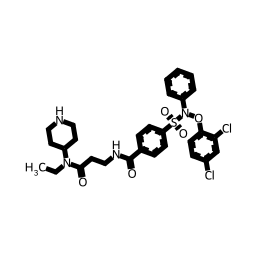 CCN(C(=O)CCNC(=O)c1ccc(S(=O)(=O)N(Oc2ccc(Cl)cc2Cl)c2ccccc2)cc1)C1CCNCC1